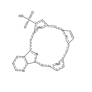 O=S(=O)(O)c1cc2cc3nc(cc4ccc(cc5nc(cc1[nH]2)-c1cccnc1-5)[nH]4)C=C3